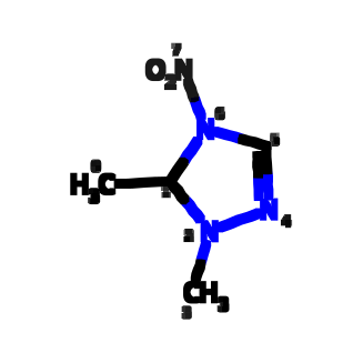 CC1N(C)N=CN1[N+](=O)[O-]